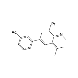 C/N=C(/CC(C)C)C(/C=C(\C)c1cccc(C(C)=O)c1)=C(C)C